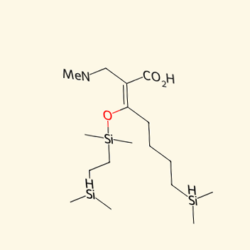 CNCC(C(=O)O)=C(CCCC[SiH](C)C)O[Si](C)(C)CC[SiH](C)C